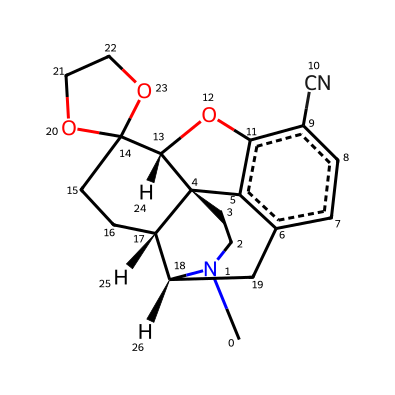 CN1CC[C@]23c4c5ccc(C#N)c4O[C@H]2C2(CC[C@H]3[C@H]1C5)OCCO2